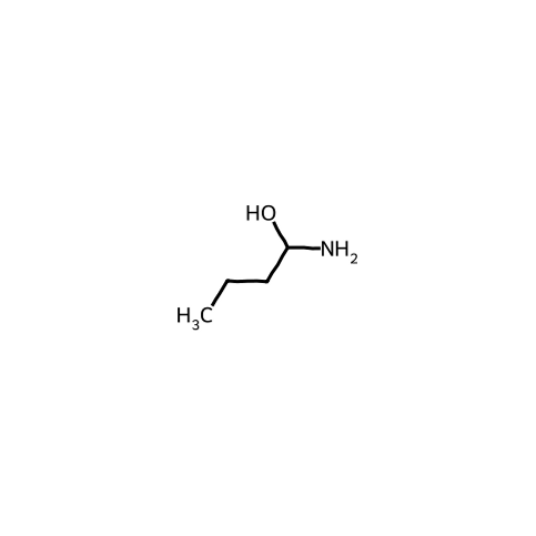 CCCC(N)O